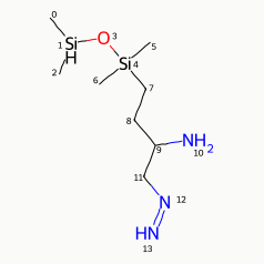 C[SiH](C)O[Si](C)(C)CCC(N)CN=N